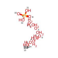 O.O.O.O.O.O.O.O.O=P([O-])(O)O.[Ba+2].[OH-]